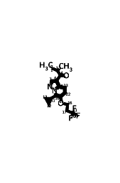 CCC(C)C(=O)c1cnn2c(C3CC3)c(OCCC(F)(F)F)ccc12